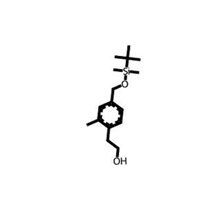 Cc1cc(CO[Si](C)(C)C(C)(C)C)ccc1CCO